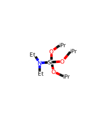 CCN(CC)[Si](OC(C)C)(OC(C)C)OC(C)C